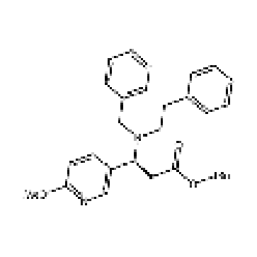 COc1ccc([C@H](CC(=O)OC(C)(C)C)N(CCc2ccccc2)Cc2ccccc2)cn1